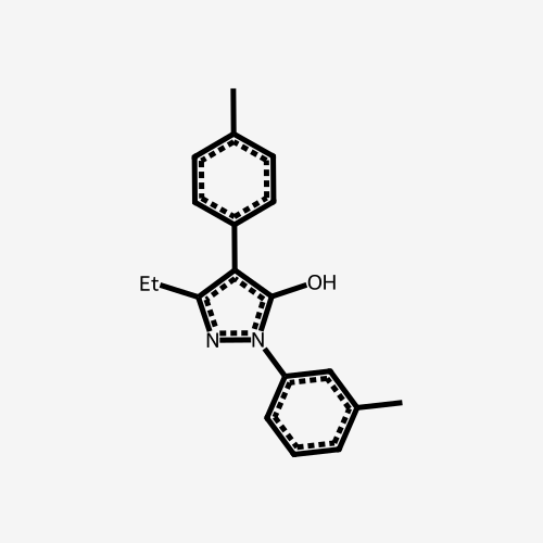 CCc1nn(-c2cccc(C)c2)c(O)c1-c1ccc(C)cc1